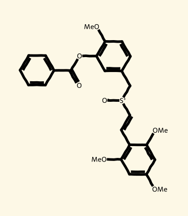 COc1cc(OC)c(C=C[S+]([O-])Cc2ccc(OC)c(OC(=O)c3ccccc3)c2)c(OC)c1